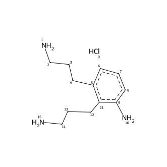 Cl.NCCCc1cccc(N)c1CCCN